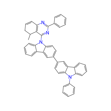 CC1CC=Cc2nc(-c3ccccc3)nc(-n3c4ccccc4c4cc(-c5ccc6c(c5)c5ccccc5n6-c5ccccc5)ccc43)c21